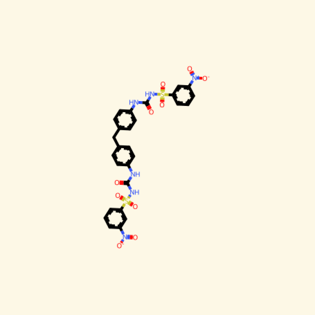 O=C(Nc1ccc(Cc2ccc(NC(=O)NS(=O)(=O)c3cccc([N+](=O)[O-])c3)cc2)cc1)NS(=O)(=O)c1cccc([N+](=O)[O-])c1